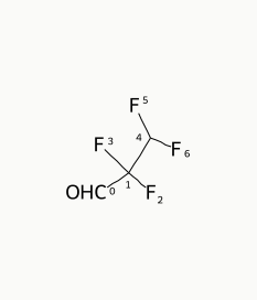 O=CC(F)(F)C(F)F